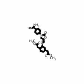 COC(=O)Cc1ccc(CC(=O)OC)c(NCC2CN(c3ccc(C(=N)N)cc3)C(=O)O2)c1